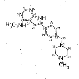 CNc1ncnc2[nH]c(-c3ccc(CN4CCN(C)CC4)cc3)cc12